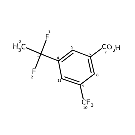 CC(F)(F)c1cc(C(=O)O)cc(C(F)(F)F)c1